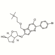 C[Si](C)(C)CCOCn1c(O[C@@H]2CO[C@H]3[C@@H]2OC[C@H]3O)cc2nc(-c3ccc(Br)cc3)c(Cl)cc21